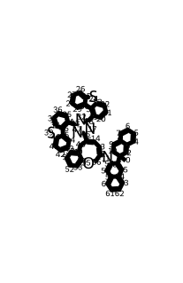 CC12C=c3ccccc3=CC1N(/C1=C/C=C(/c3nc(-c4cccc5sc6ccccc6c45)nc(-c4cccc5sc6ccccc6c45)n3)Cc3ccccc3OC1)c1cc3ccccc3cc12